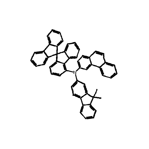 CC1(C)c2ccccc2-c2ccc(N(c3ccc4ccc5ccccc5c4c3)c3cccc4c3-c3ccccc3C43c4ccccc4-c4ccccc43)cc21